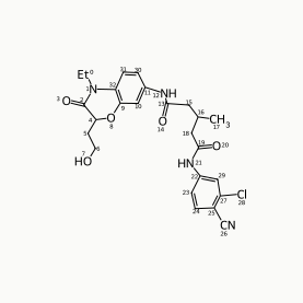 CCN1C(=O)C(CCO)Oc2cc(NC(=O)CC(C)CC(=O)Nc3ccc(C#N)c(Cl)c3)ccc21